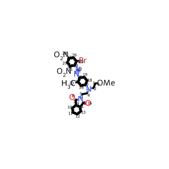 COCCN(CCN1C(=O)c2ccccc2C1=O)c1ccc(/N=N/c2c(Br)cc([N+](=O)[O-])cc2[N+](=O)[O-])c(C)c1